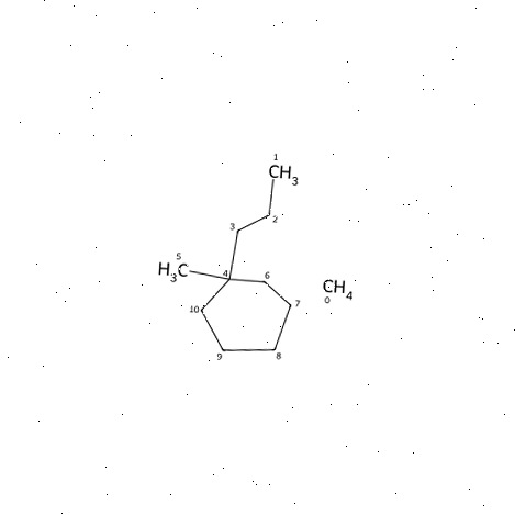 C.CCCC1(C)CCCCC1